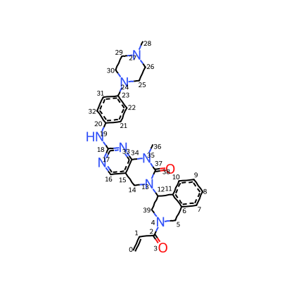 C=CC(=O)N1Cc2ccccc2C(N2Cc3cnc(Nc4ccc(N5CCN(C)CC5)cc4)nc3N(C)C2=O)C1